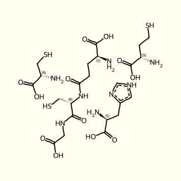 N[C@@H](CCC(=O)N[C@@H](CS)C(=O)NCC(=O)O)C(=O)O.N[C@@H](CCS)C(=O)O.N[C@@H](CS)C(=O)O.N[C@@H](Cc1c[nH]cn1)C(=O)O